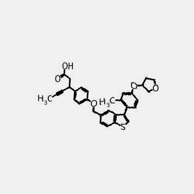 CC#CC(CC(=O)O)c1ccc(OCc2ccc3scc(-c4ccc(OC5CCOC5)cc4C)c3c2)cc1